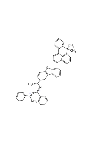 C=C(/N=C(\N=C(/N)C1=CC=CCC1)C1=CCCC=C1)C1C=Cc2sc3c(-c4ccc5c6c(cccc46)C(C)(C)c4ccccc4-5)cccc3c2C1